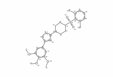 COc1cc(-c2csc(N3CCC(S(=O)(=O)c4c(F)cccc4F)CC3)n2)cc(OC)c1OC